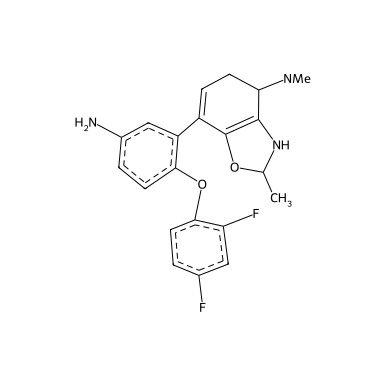 CNC1CC=C(c2cc(N)ccc2Oc2ccc(F)cc2F)C2=C1NC(C)O2